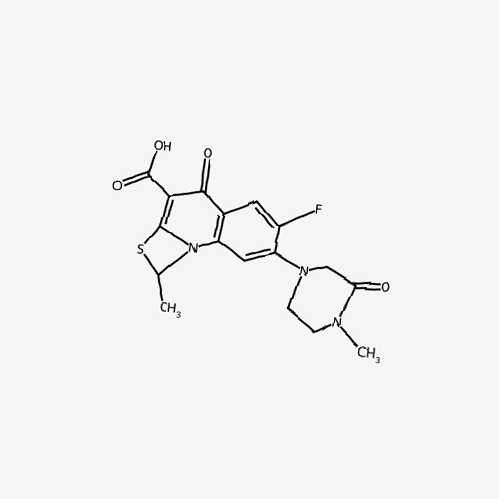 CC1Sc2c(C(=O)O)c(=O)c3cc(F)c(N4CCN(C)C(=O)C4)cc3n21